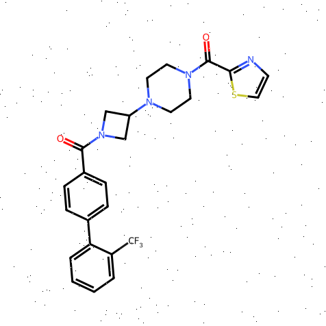 O=C(c1ccc(-c2ccccc2C(F)(F)F)cc1)N1CC(N2CCN(C(=O)c3nccs3)CC2)C1